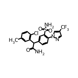 Cc1ccc(Cl)c(C(C(N)=O)c2ccc(-n3cc(C(F)(F)F)cn3)c(S(N)(=O)=O)c2)c1